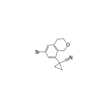 N#CC1(c2cc(Br)cc3c2COCC3)CC1